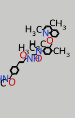 CCN(C(=O)CNC(=O)C=Cc1ccc(C(=O)NC)cc1)c1ccc(C)c(COc2cccc3c(C)cc(C)nc23)c1C